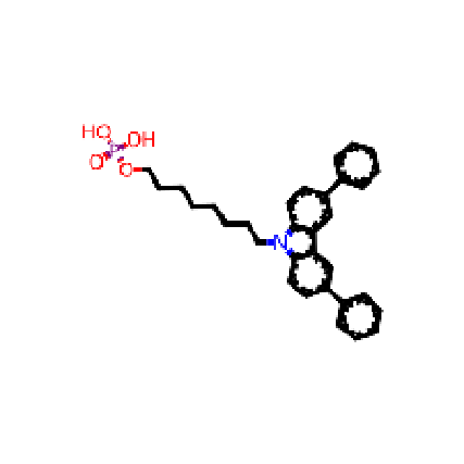 O=P(O)(O)OCCCCCCCCn1c2ccc(-c3ccccc3)cc2c2cc(-c3ccccc3)ccc21